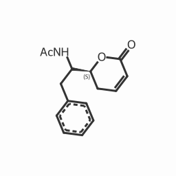 CC(=O)NC(Cc1ccccc1)[C@@H]1CC=CC(=O)O1